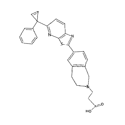 O=C(O)CCN1CCc2cc(-c3nc4ccc(C5(c6ccccc6)C=C5)nc4s3)ccc2C1